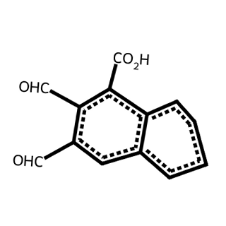 O=Cc1cc2ccccc2c(C(=O)O)c1C=O